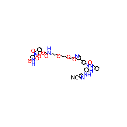 N#Cc1ccc(N[C@H]2CC[C@H](N(C(=O)NCc3ccccc3)c3ccc(-c4ccnc(OCCOCCCCOCCCCNC(=O)COc5cccc6c5C(=O)N(C5CCC(=O)NC5=O)C6=O)c4)cc3)CC2)nc1